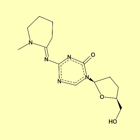 CN1CCCC/C1=N\c1ncn([C@H]2CC[C@@H](CO)O2)c(=O)n1